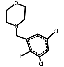 Clc1cc(Cl)c(I)c(CN2CCOCC2)c1